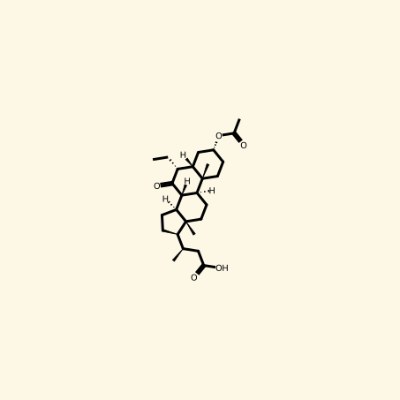 CC[C@H]1C(=O)[C@@H]2[C@H](CC[C@]3(C)[C@@H]([C@H](C)CC(=O)O)CC[C@@H]23)[C@@]2(C)CC[C@@H](OC(C)=O)C[C@@H]12